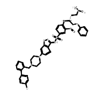 CN(C)CC[C@H](CSc1ccccc1)Nc1ccc(S(=O)(=O)Nc2noc3cc(N4CCN(Cc5ccccc5-c5ccc(Cl)cc5)CC4)ccc23)cc1N=O